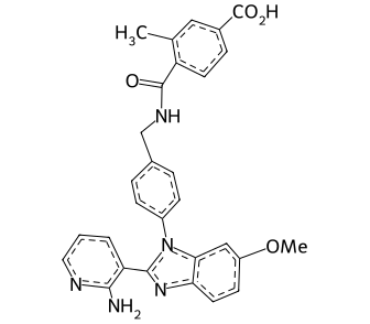 COc1ccc2nc(-c3cccnc3N)n(-c3ccc(CNC(=O)c4ccc(C(=O)O)cc4C)cc3)c2c1